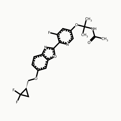 CC(=O)NC(C)(C)Oc1cnc(-c2nc3ccc(OC[C@@H]4CC4(F)F)cc3o2)c(F)c1